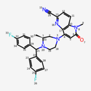 C[C@H]1CN(c2cc(=O)n(C)c3ccc(C#N)nc23)CCN1C(c1ccc(F)cc1)c1ccc(F)cc1